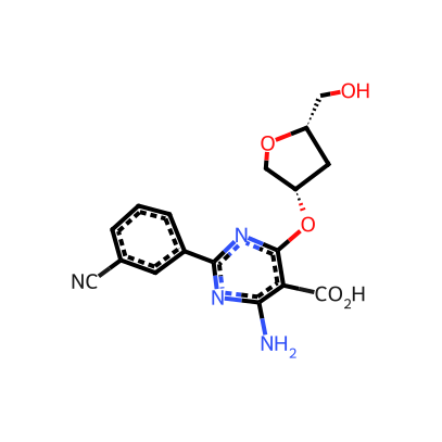 N#Cc1cccc(-c2nc(N)c(C(=O)O)c(O[C@@H]3CO[C@H](CO)C3)n2)c1